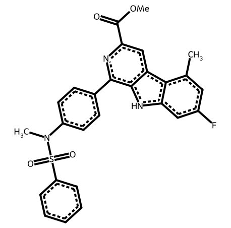 COC(=O)c1cc2c([nH]c3cc(F)cc(C)c32)c(-c2ccc(N(C)S(=O)(=O)c3ccccc3)cc2)n1